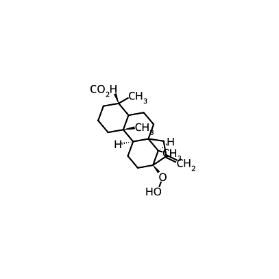 C=C1CC23CCC4[C@](C)(C(=O)O)CCC[C@@]4(C)[C@@H]2CC[C@]1(OO)[C@@H]3C